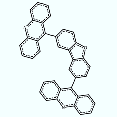 c1ccc2c(-c3ccc4oc5ccc(-c6c7ccccc7nc7ccccc67)cc5c4c3)c3ccccc3nc2c1